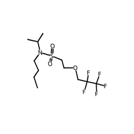 CCCCN(C(C)C)S(=O)(=O)CCOCC(F)(F)C(F)(F)F